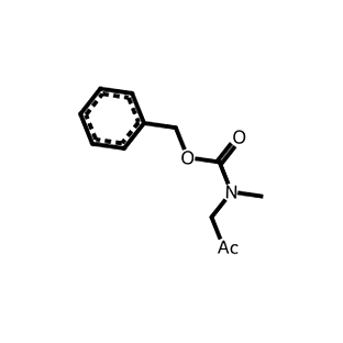 CC(=O)CN(C)C(=O)OCc1ccccc1